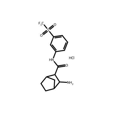 Cl.NC1C2CCC(C2)C1C(=O)Nc1cccc(S(=O)(=O)C(F)(F)F)c1